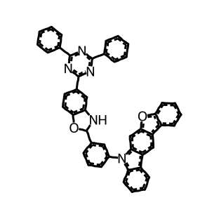 c1ccc(-c2nc(-c3ccccc3)nc(-c3ccc4c(c3)NC(c3cccc(-n5c6ccccc6c6cc7c(cc65)oc5ccccc57)c3)O4)n2)cc1